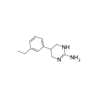 CCc1cccc(C2CN=C(N)NC2)c1